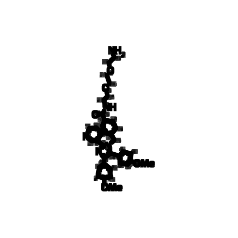 COc1ccc(-c2nc(-c3cccnc3)n(Cc3ccc(C(=O)NCCOCCOCCN)cc3)c2-c2ccc(OC)cc2)cc1